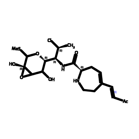 CSC1O[C@H]([C@H](NC(=O)[C@@H]2CC=C(/C=C/C(C)=O)CCN2)[C@H](C)Cl)C(O)C2O[C@]12O